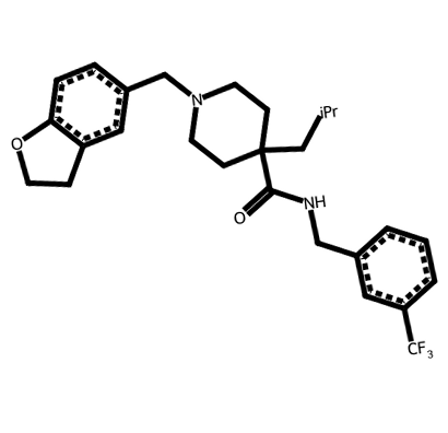 CC(C)CC1(C(=O)NCc2cccc(C(F)(F)F)c2)CCN(Cc2ccc3c(c2)CCO3)CC1